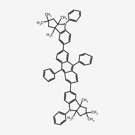 CC1(C)CC2(C)c3cc(-c4ccc5c(-c6ccccc6)c6cc(-c7ccc8c(c7)C7(C)CC(C)(C)CC7(C)N8c7ccccc7)ccc6c(-c6ccccc6)c5c4)ccc3N(c3ccccc3)C2(C)C1